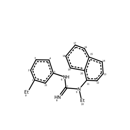 CCc1cccc(NC(=N)N(CC)c2cccc3ccccc23)c1